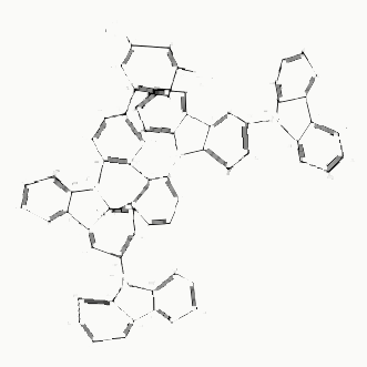 N#Cc1cccc(-n2c3ccccc3c3cc(-n4c5ccccc5c5ccccc54)ccc32)c1-c1cc(-c2cc(C(F)(F)F)cc(C(F)(F)F)c2)ccc1-n1c2ccccc2c2cc(-n3c4ccccc4c4ccccc43)ccc21